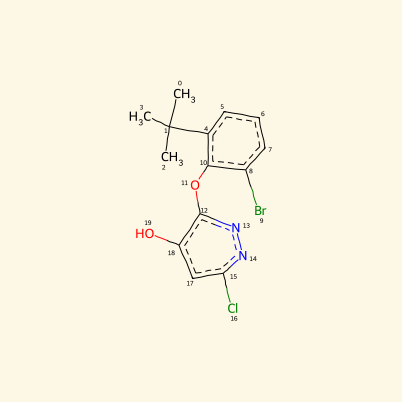 CC(C)(C)c1cccc(Br)c1Oc1nnc(Cl)cc1O